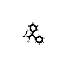 CN(C)C(F)=C(c1ccccc1)c1ccccc1